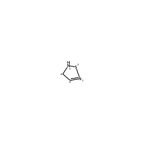 C1=NSNC1